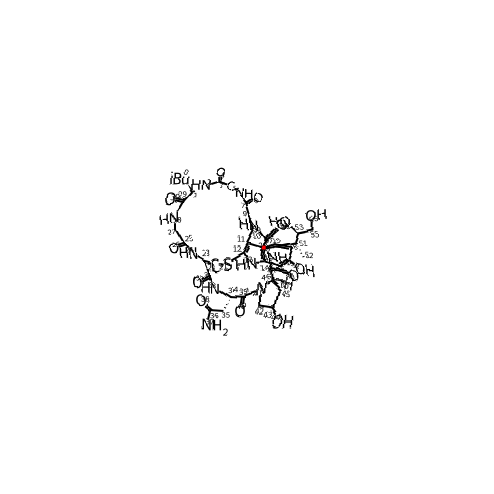 CC[C@H](C)[C@@H]1NC(=O)CNC(=O)C2Cc3c([nH]c4cc(O)ccc34)SCC(NC(=O)CNC1=O)C(=O)N[C@@H](CC(N)=O)C(=O)N1CC(O)C[C@H]1C(=O)N[C@@H]([C@@H](C)[C@@H](O)CO)C(=O)N2